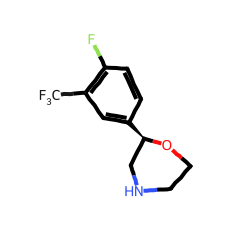 Fc1ccc([C@@H]2CNCCO2)cc1C(F)(F)F